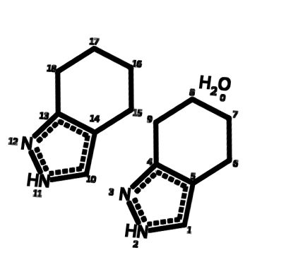 O.c1[nH]nc2c1CCCC2.c1[nH]nc2c1CCCC2